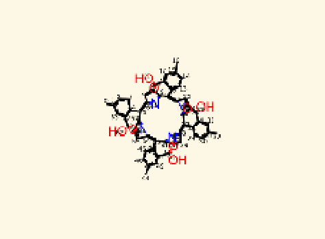 Cc1ccc(C2=C3C=CC(=N3)C(c3ccc(C)cc3C(=O)O)=C3C=CC(=N3)C(c3ccc(C)cc3C(=O)O)=C3C=CC(=N3)C(c3ccc(C)cc3C(=O)O)=C3C=CC2=N3)c(C(=O)O)c1